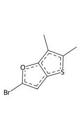 Cc1sc2cc(Br)oc2c1C